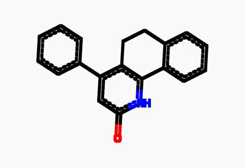 O=c1cc(-c2ccccc2)c2c([nH]1)-c1ccccc1CC2